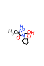 C[C@H](N)C(=O)N(CC(=O)O)C1CCCCC1